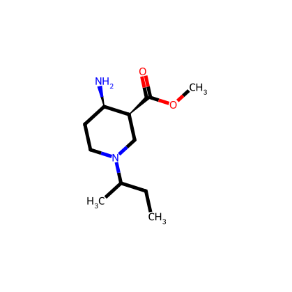 CCC(C)N1CC[C@@H](N)[C@@H](C(=O)OC)C1